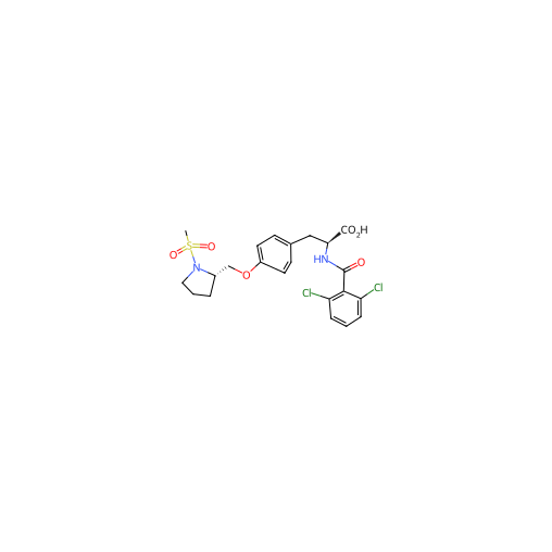 CS(=O)(=O)N1CCC[C@H]1COc1ccc(C[C@H](NC(=O)c2c(Cl)cccc2Cl)C(=O)O)cc1